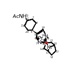 CC(=O)N[C@H]1CC[C@@H](c2cnc(N3C4CCC3CN(C(C)C)C4)nc2)CC1